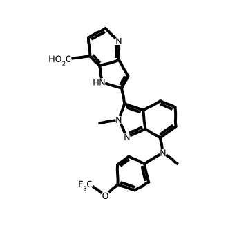 CN(c1ccc(OC(F)(F)F)cc1)c1cccc2c(-c3cc4nccc(C(=O)O)c4[nH]3)n(C)nc12